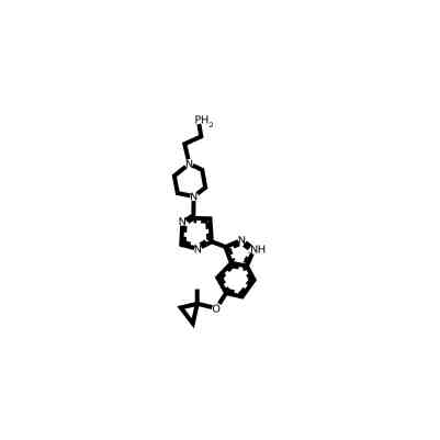 CC1(Oc2ccc3[nH]nc(-c4cc(N5CCN(CCP)CC5)ncn4)c3c2)CC1